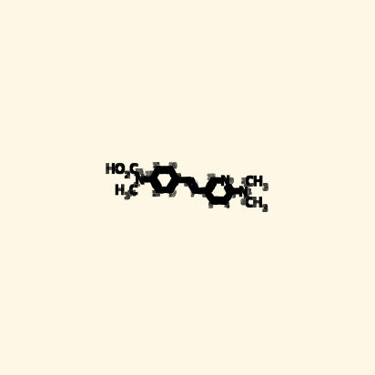 CN(C)c1ccc(/C=C/c2ccc(N(C)C(=O)O)cc2)cn1